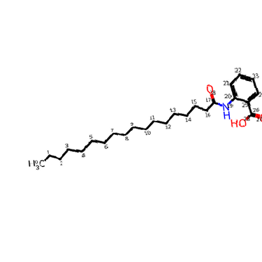 CCCCCCCCCCCCCCCCCC(=O)Nc1ccccc1C(=O)O